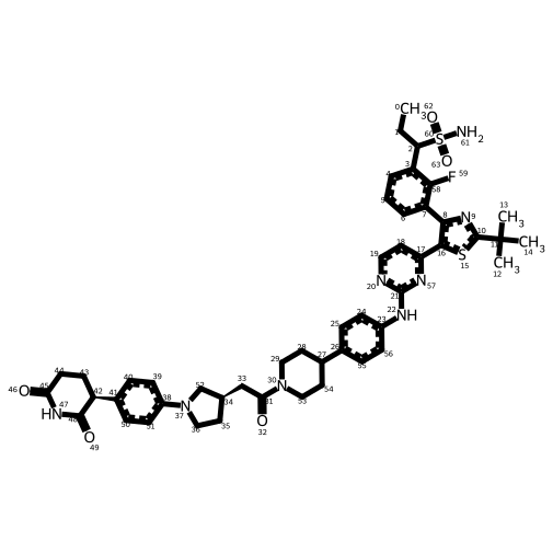 CCC(c1cccc(-c2nc(C(C)(C)C)sc2-c2ccnc(Nc3ccc(C4CCN(C(=O)C[C@H]5CCN(c6ccc([C@@H]7CCC(=O)NC7=O)cc6)C5)CC4)cc3)n2)c1F)S(N)(=O)=O